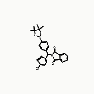 CC1(C)OB(c2ccc(C(c3ccc(Cl)cc3)N3C(=O)c4ccccc4C3=O)cc2)OC1(C)C